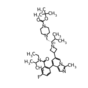 CCN(C(=O)c1cc(F)ccc1-c1cc(C2CN([C@H](CN3CCN(C(=O)OC(C)(C)C)CC3)C(C)C)C2)cn2c(C)ncc12)C(C)C